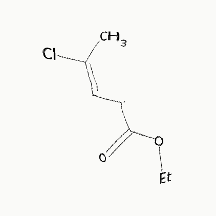 CCOC(=O)[CH]/C=C(\C)Cl